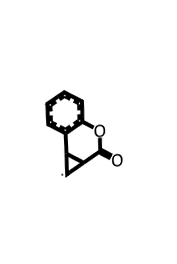 O=C1Oc2ccccc2C2[CH]C12